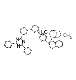 CC1CC2CC(C)C3(c4cc(-c5cccc(-c6cccc(-c7nc(-c8ccccc8)nc(-c8ccccc8)n7)c6)c5)ccc4-c4ccc5ccccc5c43)C(C1)C2